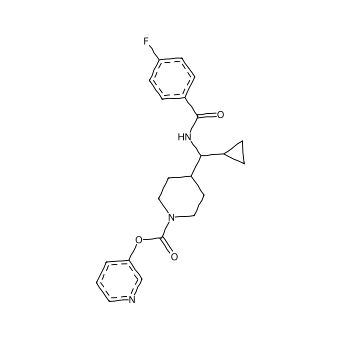 O=C(NC(C1CC1)C1CCN(C(=O)Oc2cccnc2)CC1)c1ccc(F)cc1